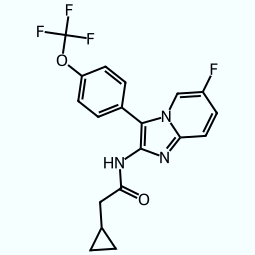 O=C(CC1CC1)Nc1nc2ccc(F)cn2c1-c1ccc(OC(F)(F)F)cc1